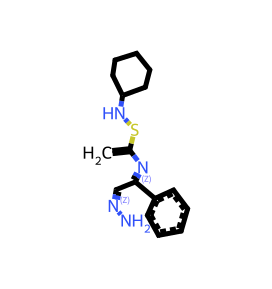 C=C(/N=C(\C=N/N)c1ccccc1)SNC1CCCCC1